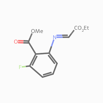 CCOC(=O)C=Nc1cccc(F)c1C(=O)OC